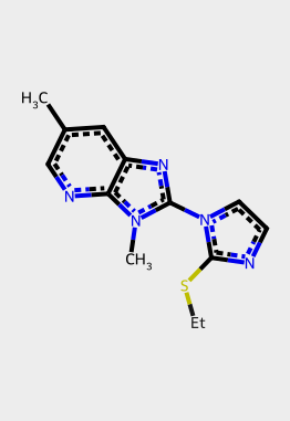 CCSc1nccn1-c1nc2cc(C)cnc2n1C